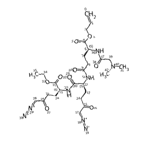 C=CCOC(=O)[C@H](CCC(=O)N[C@@H](CCC(=O)C=[N+]=[N-])C(=O)N[C@@H](CCC(=O)C=[N+]=[N-])C(=O)OCC)NC(=O)CN(C)C